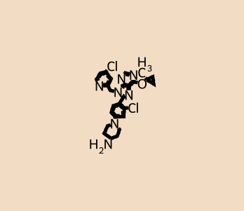 CC1(Oc2ncnc3c2nc(-c2ccc(N4CCC(N)CC4)cc2Cl)n3Cc2cc(Cl)ccn2)CC1